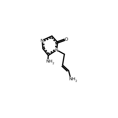 NC=CCn1c(N)cncc1=O